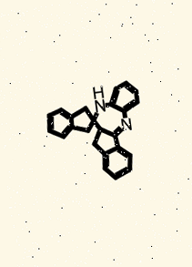 c1ccc2c(c1)CC1(C2)Nc2ccccc2N=C2c3ccccc3CC21